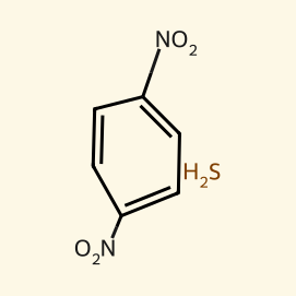 O=[N+]([O-])c1ccc([N+](=O)[O-])cc1.S